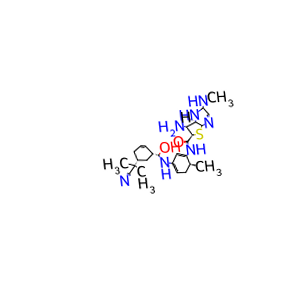 CNC1C=NC2S[C@@H](C(=O)NC3=CC(NC(O)[C@H]4C=CC[C@@H](C(C)(C)C#N)C4)=CC[C@@H]3C)C(N)[C@H]2N1